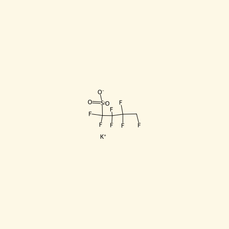 O=S(=O)([O-])C(F)(F)C(F)(F)C(F)(F)CF.[K+]